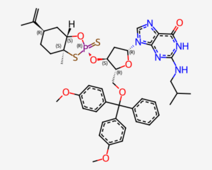 C=C(C)[C@@H]1CC[C@]2(C)S[P@](=S)(O[C@H]3C[C@H](n4cnc5c(=O)[nH]c(NCC(C)C)nc54)O[C@@H]3COC(c3ccccc3)(c3ccc(OC)cc3)c3ccc(OC)cc3)O[C@H]2C1